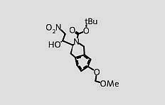 COCOc1ccc2c(c1)CN(C(=O)OC(C)(C)C)[C@H]([C@H](O)C[N+](=O)[O-])C2